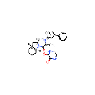 CCOC(=O)[C@H](CCc1ccccc1)N[C@@H](C)C(=O)N1[C@H](C(=O)O)C[C@H]2CCCC[C@@H]21.O=C1NCCNC1=O